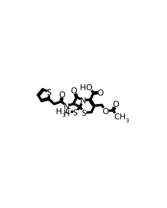 CSC12SCC(COC(C)=O)=C(C(=O)O)N1C(=O)C2NC(=O)Cc1cccs1